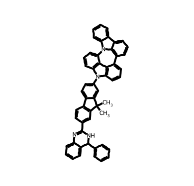 CC1(C)c2cc(C3=Nc4ccccc4C(c4ccccc4)N3)ccc2-c2ccc(-n3c4cccc5c6cccc7c8ccccc8n(c8cccc3c8c54)c67)cc21